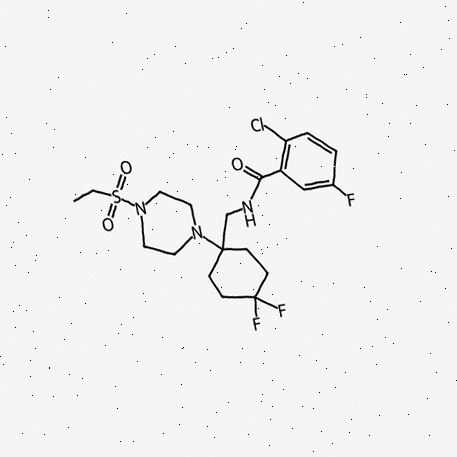 CCS(=O)(=O)N1CCN(C2(CNC(=O)c3cc(F)ccc3Cl)CCC(F)(F)CC2)CC1